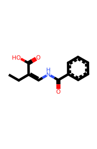 CCC(=CNC(=O)c1ccccc1)C(=O)O